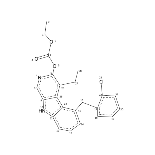 CCOC(=O)Oc1ncc2[nH]c3cccc(Cc4ccccc4Cl)c3c2c1CC